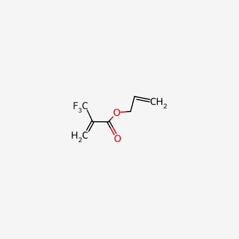 C=CCOC(=O)C(=C)C(F)(F)F